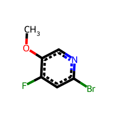 COc1cnc(Br)cc1F